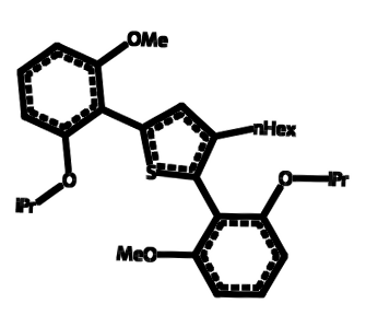 CCCCCCc1cc(-c2c(OC)cccc2OC(C)C)sc1-c1c(OC)cccc1OC(C)C